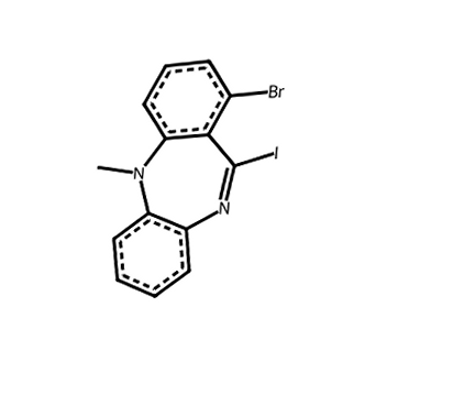 CN1c2ccccc2N=C(I)c2c(Br)cccc21